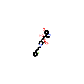 COc1ccc2nccc([C@H](O)CC[C@@H]3CCN(CCCCc4ccccc4F)C[C@@H]3C(=O)O)c2c1